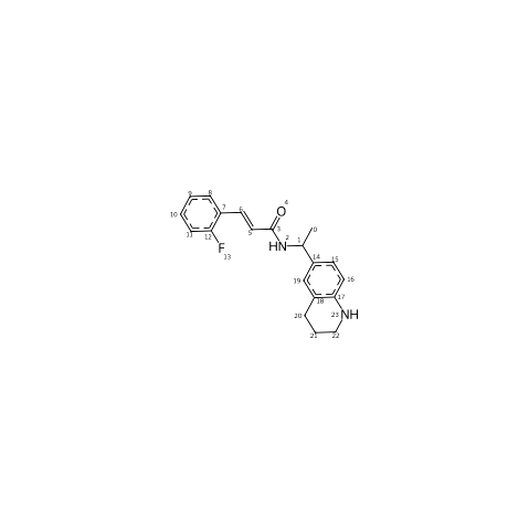 CC(NC(=O)C=Cc1ccccc1F)c1ccc2c(c1)CCCN2